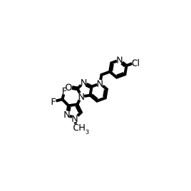 Cn1cc(-n2c3cccn(Cc4ccc(Cl)nc4)c-3nc2=O)c(C(F)F)n1